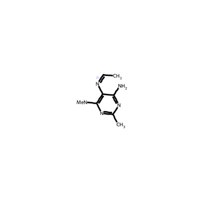 C/C=N\c1c(N)nc(C)nc1NC